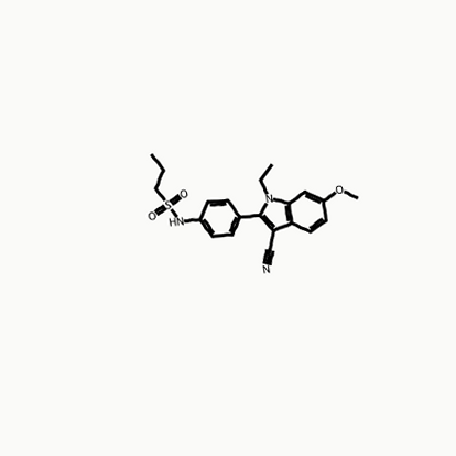 CCCS(=O)(=O)Nc1ccc(-c2c(C#N)c3ccc(OC)cc3n2CC)cc1